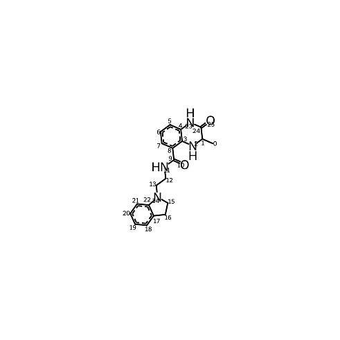 CC1Nc2c(cccc2C(=O)NCCN2CCc3ccccc32)NC1=O